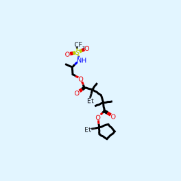 CCC1(OC(=O)C(C)(C)CC(C)(CC)C(=O)OCC(C)NS(=O)(=O)C(F)(F)F)CCCC1